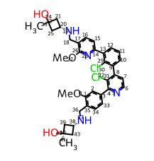 COc1cc(-c2nccc(-c3cccc(-c4ccc(CN[C@H]5C[C@@](C)(O)C5)c(OC)n4)c3Cl)c2Cl)ccc1CN[C@H]1C[C@](C)(O)C1